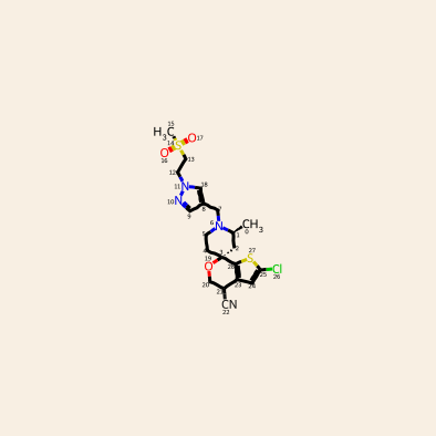 C[C@H]1C[C@@]2(CCN1Cc1cnn(CCS(C)(=O)=O)c1)OCC(C#N)c1cc(Cl)sc12